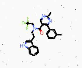 Cc1cccc(-c2nc(C)ncc2C(=O)N(CCc2c[nH]c3ccccc23)CC(F)(F)F)c1